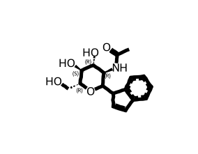 CC(=O)N[C@H]1C(C2C=Cc3ccccc32)O[C@H](CO)[C@@H](O)[C@@H]1O